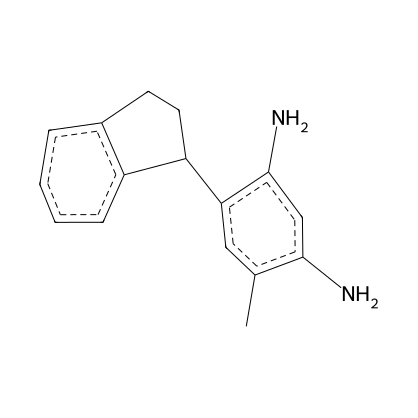 Cc1cc(C2CCc3ccccc32)c(N)cc1N